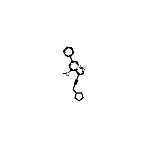 COc1cc(-c2ccccc2)cn2ncc(C#CCC3CCCC3)c12